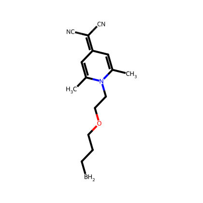 BCCCOCCN1C(C)=CC(=C(C#N)C#N)C=C1C